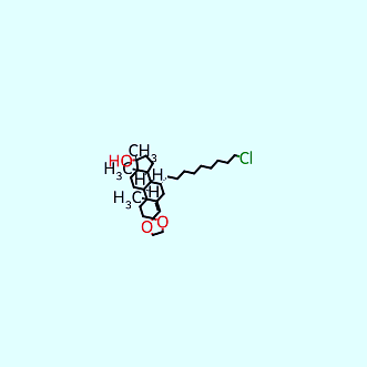 C[C@]12CCC3(C=C1C[C@@H](CCCCCCCCCCl)[C@@H]1[C@@H]2CC[C@@]2(C)[C@H]1CC[C@]2(C)O)OCCO3